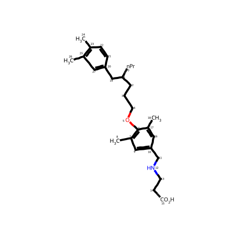 CCCC(CCCOc1c(C)cc(CNCCC(=O)O)cc1C)Cc1ccc(C)c(C)c1